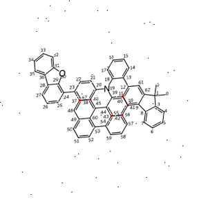 CC1(C)c2ccccc2-c2ccc(-c3ccccc3N(c3ccc(-c4cccc5c4oc4ccccc45)cc3)c3ccccc3-c3cccc4cccc(-c5ccccc5)c34)cc21